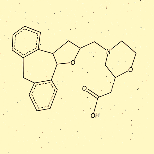 O=C(O)CC1CN(CC2CC3c4ccccc4Cc4ccccc4C3O2)CCO1